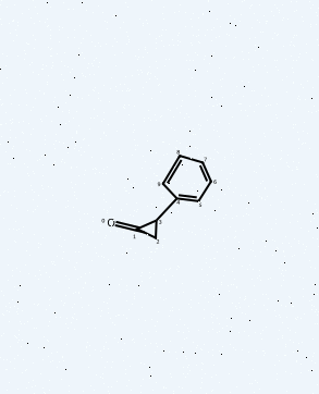 O=C1CC1c1ccccc1